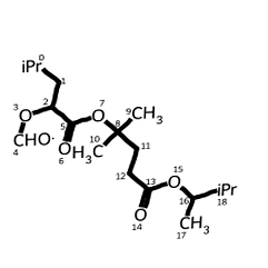 CC(C)CC(O[C]=O)C(=O)OC(C)(C)CCC(=O)OC(C)C(C)C